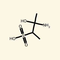 CC(C(C)(N)O)S(=O)(=O)O